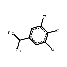 OC(c1cc(Cl)c(Cl)c(Cl)c1)C(F)(F)F